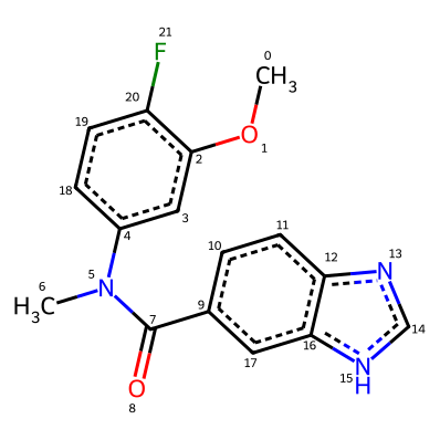 COc1cc(N(C)C(=O)c2ccc3nc[nH]c3c2)ccc1F